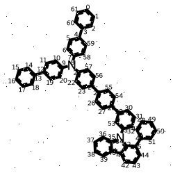 c1ccc(-c2ccc(N(c3ccc(-c4ccccc4)cc3)c3ccc(-c4ccc(-c5cccc(-n6c7ccccc7c7cccc(-c8ccccc8)c76)c5)cc4)cc3)cc2)cc1